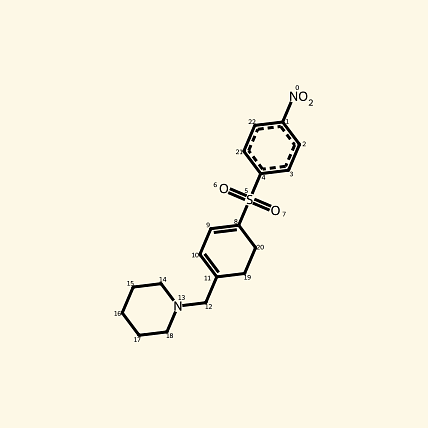 O=[N+]([O-])c1ccc(S(=O)(=O)C2=CC=C(CN3CCCCC3)CC2)cc1